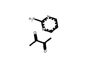 CC(=O)C(C)=O.Nc1ncccn1